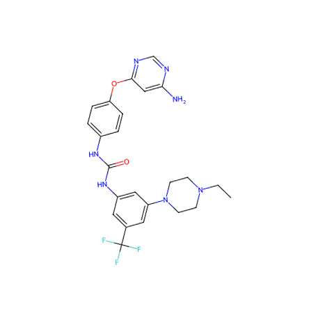 CCN1CCN(c2cc(NC(=O)Nc3ccc(Oc4cc(N)ncn4)cc3)cc(C(F)(F)F)c2)CC1